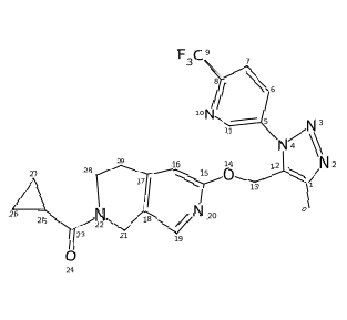 Cc1nnn(-c2ccc(C(F)(F)F)nc2)c1COc1cc2c(cn1)CN(C(=O)C1CC1)CC2